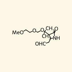 COCCOCOC(C)(C)C1C(=O)NC1CC=O